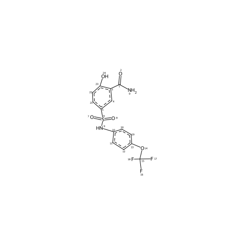 NC(=O)c1cc(S(=O)(=O)Nc2ccc(OC(F)(F)F)cc2)ccc1O